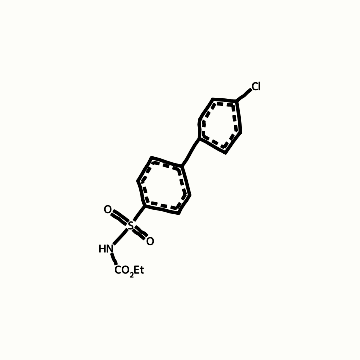 CCOC(=O)NS(=O)(=O)c1ccc(-c2ccc(Cl)cc2)cc1